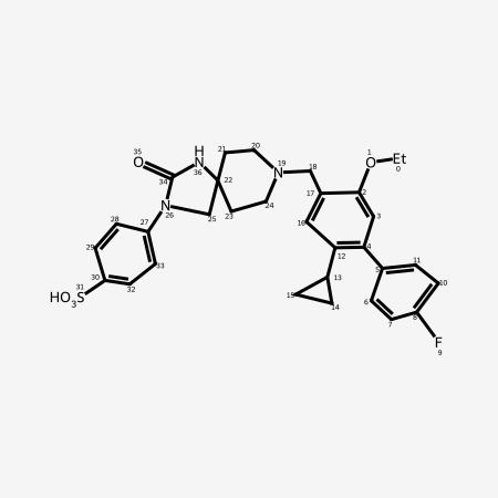 CCOc1cc(-c2ccc(F)cc2)c(C2CC2)cc1CN1CCC2(CC1)CN(c1ccc(S(=O)(=O)O)cc1)C(=O)N2